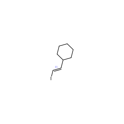 I/C=C/C1CCCCC1